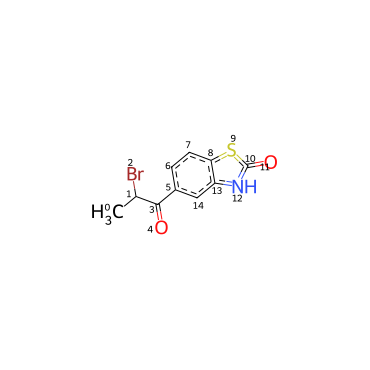 CC(Br)C(=O)c1ccc2sc(=O)[nH]c2c1